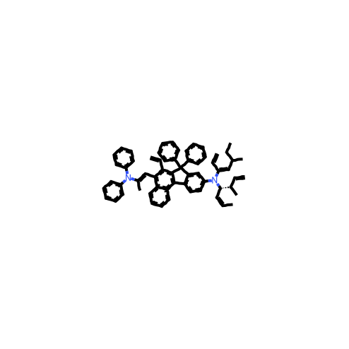 C=C/C(=C\C(C)CC)N(c1ccc2c(c1)C(c1ccccc1)(c1ccccc1)c1c(C=C)c(/C=C(\C)N(c3ccccc3)c3ccccc3)c3ccccc3c1-2)[C@@H](/C=C\C)C(C)C=C